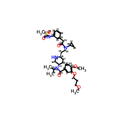 COCCCOc1cc(C(=O)N(C(C)C)[C@@H]2CC[C@H](CCN(C(=O)Cc3cccc(NS(C)(=O)=O)c3)C3CC3)NC2)ccc1OC